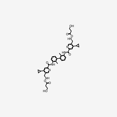 Cc1c(NC(=O)c2cc(C3CC3)c(CNOC(=O)CCO)cn2)cccc1-c1cccc(NC(=O)c2cc(C3CC3)c(CNOC(=O)CCO)cn2)c1C